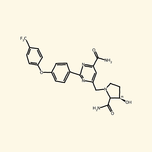 NC(=O)c1cc(CN2CC[C@@H](O)C2C(N)=O)nc(-c2ccc(Oc3ccc(C(F)(F)F)cc3)cc2)n1